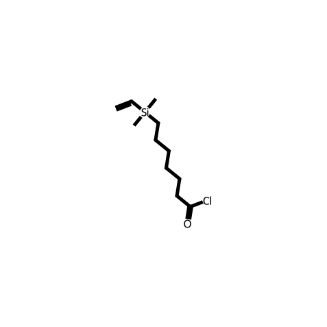 C=C[Si](C)(C)CCCCCCC(=O)Cl